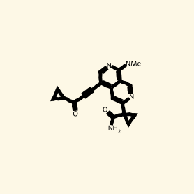 CNc1ncc(C#CC(=O)C2CC2)c2cc(C3(C(N)=O)CC3)ncc12